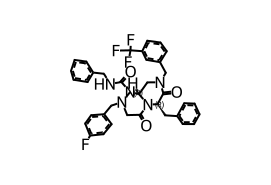 O=C1[C@@H](Cc2ccccc2)N2C(=O)CN(Cc3ccc(F)cc3)N(C(=O)NCc3ccccc3)[C@@H]2CN1Cc1cccc(C(F)(F)F)c1